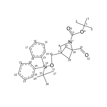 CC(C)(C)OC(=O)N1CC2(CO[Si](c3ccccc3)(c3ccccc3)C(C)(C)C)CC1(C=O)C2